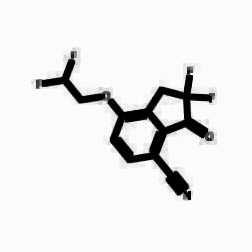 N#Cc1ccc(OCC(F)F)c2c1C(=O)C(F)(F)C2